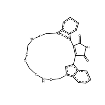 O=C1NC(=O)C2=C1c1cn(c3ccccc13)CCNCCOCCNCCn1cc2c2ccccc21